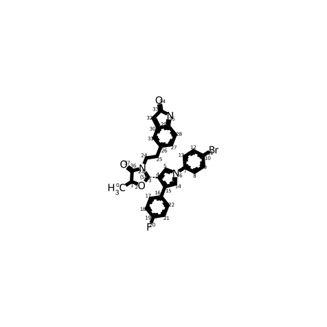 CC1O[C@@H](c2cn(-c3ccc(Br)cc3)cc2-c2ccc(F)cc2)N(CCc2ccc3c(c2)=CC(=O)N=3)C1=O